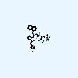 COC(=O)[C@H](CNS(C)(=O)=O)NC(=O)CN(Cc1cccc2ccccc12)CC1CCCN1C(=O)Cc1c[nH]cn1